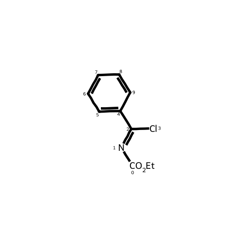 CCOC(=O)N=C(Cl)c1ccccc1